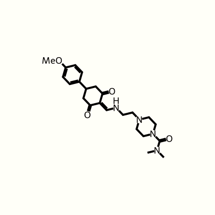 COc1ccc(C2CC(=O)C(=CNCCN3CCN(C(=O)N(C)C)CC3)C(=O)C2)cc1